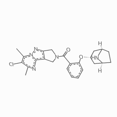 Cc1nc2c3c(nn2c(C)c1Cl)CN(C(=O)c1ccccc1O[C@@H]1C[C@H]2CC[C@@H](C1)N2)C3